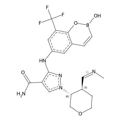 C/N=C\[C@H]1CCOC[C@@H]1n1cc(C(N)=O)c(Nc2cc3c(c(C(F)(F)F)c2)OB(O)C=C3)n1